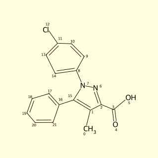 Cc1c(C(=O)O)nn(-c2ccc(Cl)cc2)c1-c1ccccc1